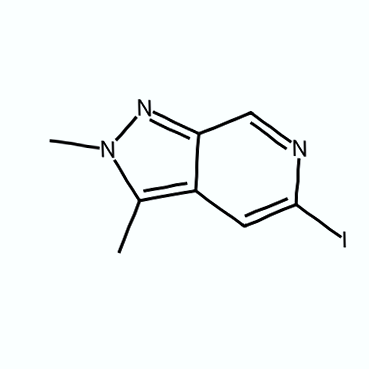 Cc1c2cc(I)ncc2nn1C